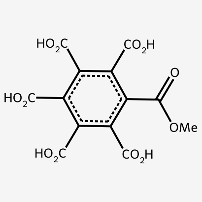 COC(=O)c1c(C(=O)O)c(C(=O)O)c(C(=O)O)c(C(=O)O)c1C(=O)O